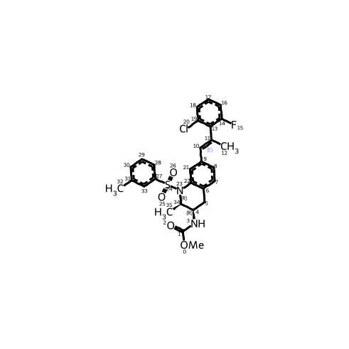 COC(=O)N[C@@H]1Cc2ccc(/C=C(\C)c3c(F)cccc3Cl)cc2N(S(=O)(=O)c2cccc(C)c2)[C@@H]1C